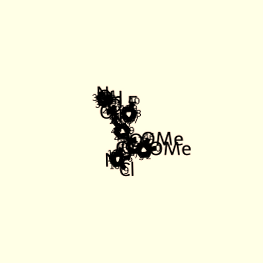 COc1ccc([C@@H](Cc2c(Cl)cncc2Cl)OC(=O)c2ccc(CN(C(=O)O[C@H]3CN4CCC3CC4)c3cccc(F)c3)cc2)cc1OC